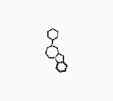 c1ccc2c(c1)CC1CN(C3CCCCC3)CCCN21